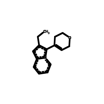 CCc1cc2ccccn2c1C1=CCOCC1